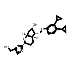 OCc1csc([C@H]2CC[C@@H]3[C@@H](COc4ccc(C5CC5)c(C5CC5)c4)[C@@H](O)C[C@@H]3O2)n1